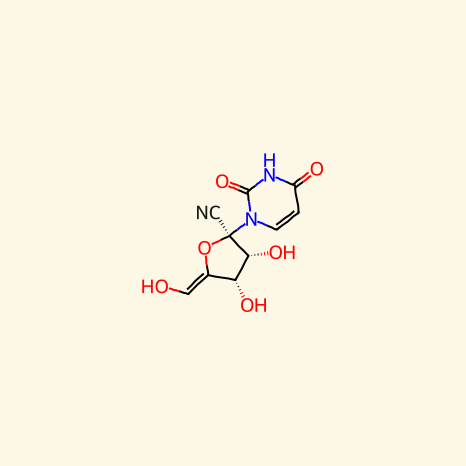 N#C[C@@]1(n2ccc(=O)[nH]c2=O)O/C(=C\O)[C@@H](O)[C@H]1O